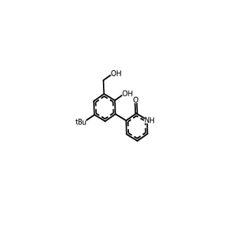 CC(C)(C)c1cc(CO)c(O)c(-c2ccc[nH]c2=O)c1